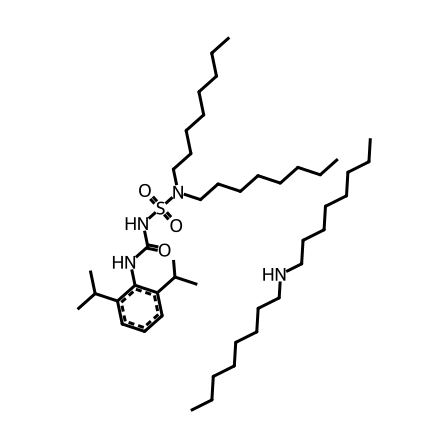 CCCCCCCCN(CCCCCCCC)S(=O)(=O)NC(=O)Nc1c(C(C)C)cccc1C(C)C.CCCCCCCCNCCCCCCCC